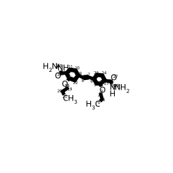 CCCOc1cc(C#Cc2ccc(C(=O)NN)c(OCCC)c2)ccc1C(=O)NN